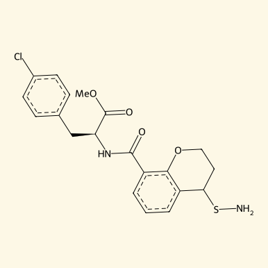 COC(=O)[C@H](Cc1ccc(Cl)cc1)NC(=O)c1cccc2c1OCCC2SN